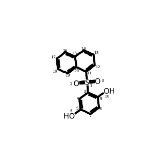 O=S(=O)(c1cc(O)ccc1O)c1cccc2ccccc12